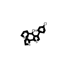 OC(c1cccnc1)c1c(-c2ccc(Cl)cc2)csc1-c1cccs1